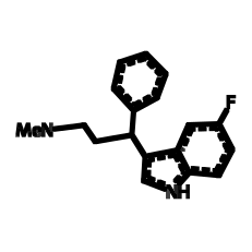 CNCCC(c1ccccc1)c1c[nH]c2ccc(F)cc12